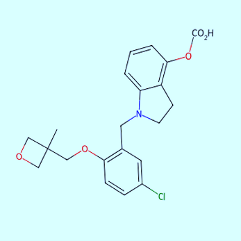 CC1(COc2ccc(Cl)cc2CN2CCc3c(OC(=O)O)cccc32)COC1